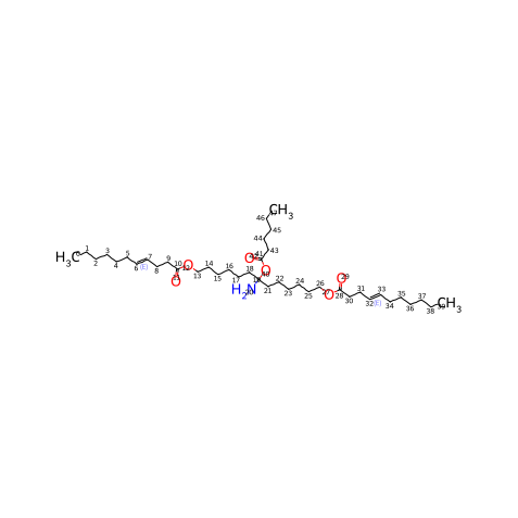 CCCCCC/C=C/CCC(=O)OCCCCCCC(N)(CCCCCCOC(=O)CC/C=C/CCCCCC)OC(=O)CCCCC